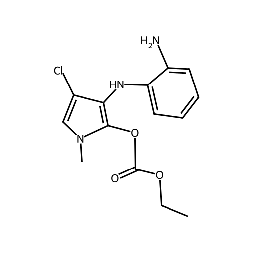 CCOC(=O)Oc1c(Nc2ccccc2N)c(Cl)cn1C